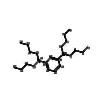 CCCCN(CCCC)c1c[c]cc(N(CCCC)CCCC)c1